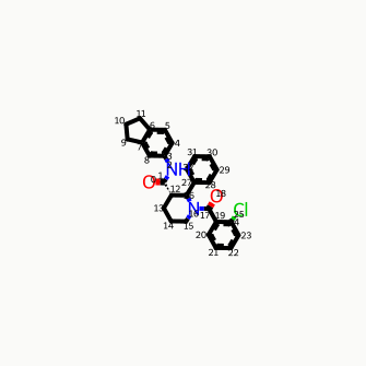 O=C(Nc1ccc2c(c1)CCC2)[C@H]1CCCN(C(=O)c2ccccc2Cl)C1c1ccccc1